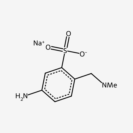 CNCc1ccc(N)cc1S(=O)(=O)[O-].[Na+]